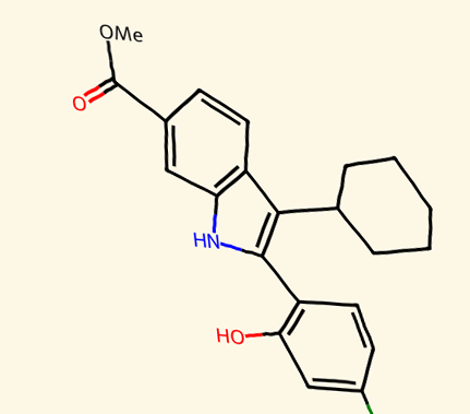 COC(=O)c1ccc2c(C3CCCCC3)c(-c3ccc(F)cc3O)[nH]c2c1